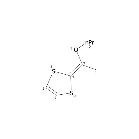 CCCOC(C)=C1SC=CS1